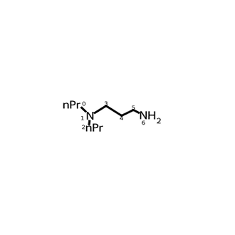 CCCN(CCC)CCCN